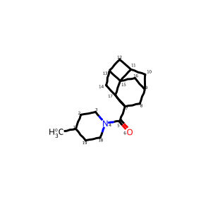 CC1CCN(C(=O)C23CC4CC5CC(C2)C5(C4)C3)CC1